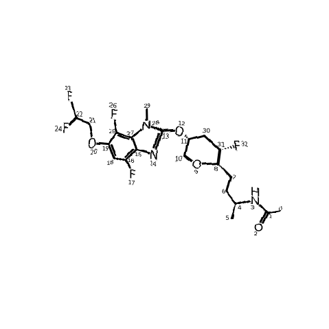 CC(=O)N[C@@H](C)CC[C@H]1OC[C@H](Oc2nc3c(F)cc(OCC(F)F)c(F)c3n2C)C[C@@H]1F